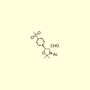 CC(=O)N1[C@@H](C=O)[C@H](c2ccc(S(C)(=O)=O)cc2)OC1(C)C